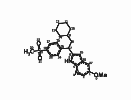 COc1cnc2[nH]c(C(CC3CCCCC3)c3ccc(S(C)(=O)=O)cc3)cc2c1